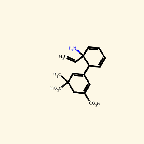 C=CC1(N)C=CC=CC1C1=CC(C)(C(=O)O)CC(C(=O)O)=C1